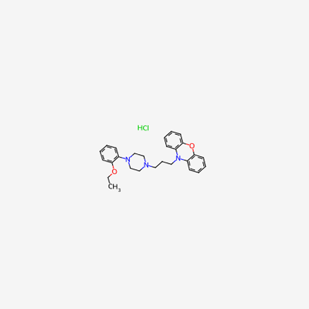 CCOc1ccccc1N1CCN(CCCN2c3ccccc3Oc3ccccc32)CC1.Cl